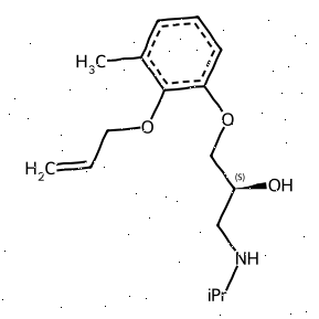 C=CCOc1c(C)cccc1OC[C@@H](O)CNC(C)C